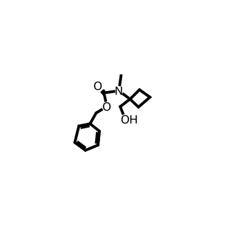 CN(C(=O)OCc1ccccc1)C1(CO)CCC1